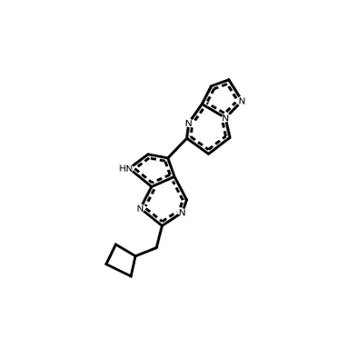 c1cc2nc(-c3c[nH]c4nc(CC5CCC5)ncc34)ccn2n1